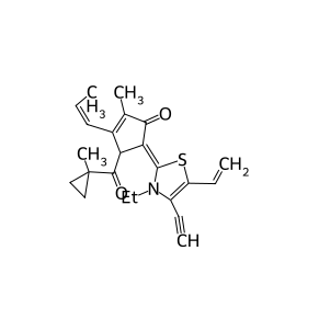 C#CC1=C(C=C)S/C(=C2\C(=O)C(C)=C(/C=C\C)C2C(=O)C2(C)CC2)N1CC